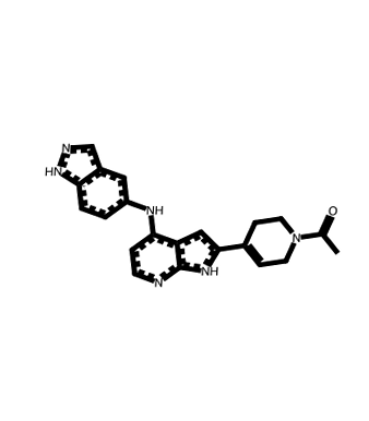 CC(=O)N1CC=C(c2cc3c(Nc4ccc5[nH]ncc5c4)ccnc3[nH]2)CC1